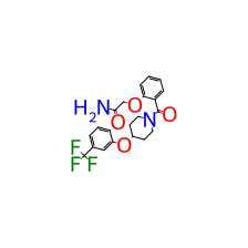 NC(=O)COc1ccccc1C(=O)N1CCC(Oc2cccc(C(F)(F)F)c2)CC1